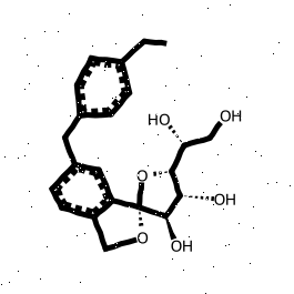 CCc1ccc(Cc2ccc3c(c2)[C@@]2(OC3)O[C@H]([C@H](O)CO)[C@H](O)[C@H]2O)cc1